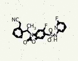 C[C@H](c1ccccc1CC#N)n1c(=O)oc2cc(S(=O)(=O)Nc3cccc(F)n3)c(F)cc21